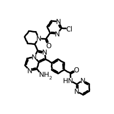 Nc1nccn2c(C3CCCCN3C(=O)c3ccnc(Cl)n3)nc(-c3ccc(C(=O)Nc4ncccn4)cc3)c12